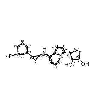 O[C@@H]1[C@H](O)CS[C@H]1c1cnc2c(NC3CC3c3cccc(F)c3)nccn12